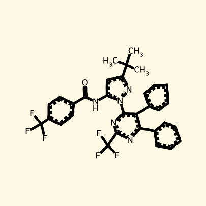 CC(C)(C)c1cc(NC(=O)c2ccc(C(F)(F)F)cc2)n(-c2nc(C(F)(F)F)nc(-c3ccccc3)c2-c2ccccc2)n1